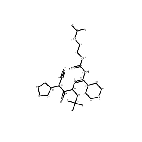 CC(C)OCCOC(=O)NC(=NC(CC(C)(C)C)C(=O)N(C#N)C1CCCC1)N1CCOCC1